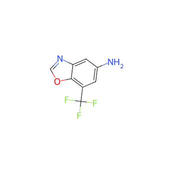 Nc1cc(C(F)(F)F)c2ocnc2c1